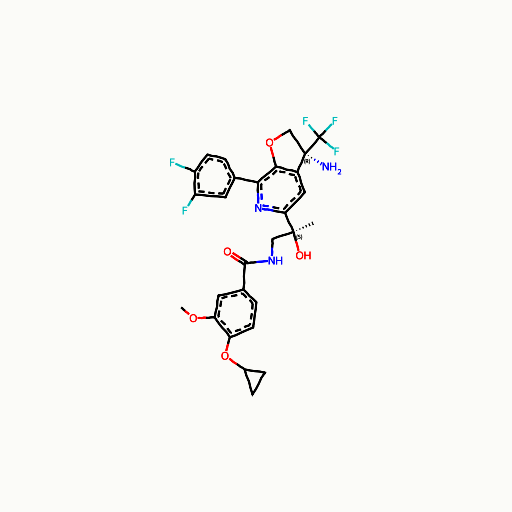 COc1cc(C(=O)NC[C@](C)(O)c2cc3c(c(-c4ccc(F)c(F)c4)n2)OC[C@@]3(N)C(F)(F)F)ccc1OC1CC1